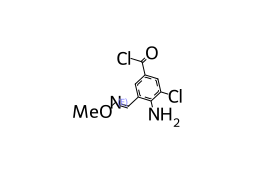 CO/N=C/c1cc(C(=O)Cl)cc(Cl)c1N